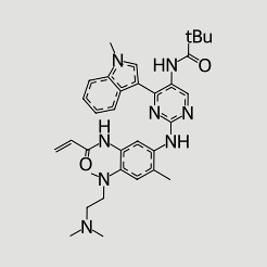 C=CC(=O)Nc1cc(Nc2ncc(NC(=O)C(C)(C)C)c(-c3cn(C)c4ccccc34)n2)c(C)cc1N(C)CCN(C)C